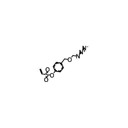 C=CS(=O)(=O)Oc1ccc(COCN=[N+]=[N-])cc1